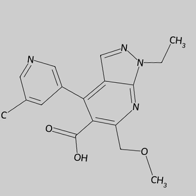 CCn1ncc2c(-c3cncc(C)c3)c(C(=O)O)c(COC)nc21